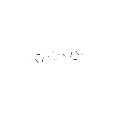 CCOc1ccc(/C=C/C2CCC(c3ccc(OCC)c(F)c3F)CC2)c(F)c1F